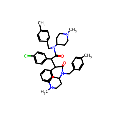 Cc1ccc(CN(C(=O)C(c2ccccc2)C(C(=O)N(Cc2ccc(C)cc2)C2CCN(C)CC2)c2ccc(Cl)cc2)C2CCN(C)CC2)cc1